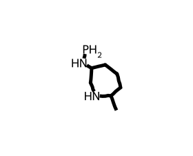 CC1CCCC(NP)CN1